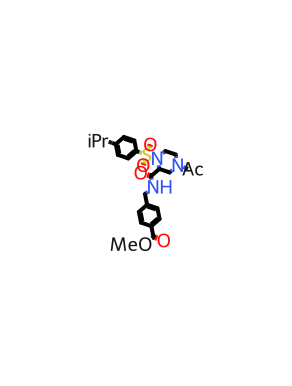 COC(=O)c1ccc(CNC(=O)C2CN(C(C)=O)CCN2S(=O)(=O)c2ccc(C(C)C)cc2)cc1